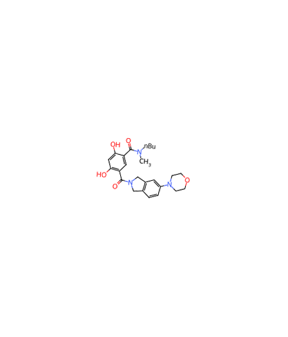 CCCCN(C)C(=O)c1cc(C(=O)N2Cc3ccc(N4CCOCC4)cc3C2)c(O)cc1O